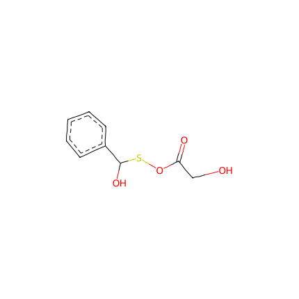 O=C(CO)OSC(O)c1ccccc1